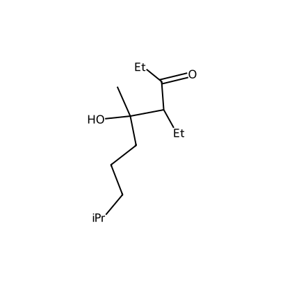 CCC(=O)C(CC)C(C)(O)CCCC(C)C